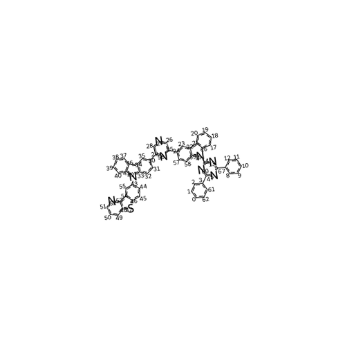 c1ccc(-c2nc(-c3ccccc3)nc(-n3c4ccccc4c4cc(-c5cncc(-c6ccc7c(c6)c6ccccc6n7-c6ccc7sc8cccnc8c7c6)n5)ccc43)n2)cc1